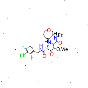 CCN1C(=O)c2c(OC)c(=O)c(C(=O)NCc3ccc(F)c(Cl)c3F)cn2[C@@H]2CCCOC[C@H]21